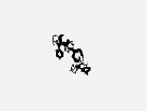 Cc1onc(-c2ccccc2)c1-c1csc(C2CCN(C(=O)c3ncoc3-c3ccccc3)CC2)n1